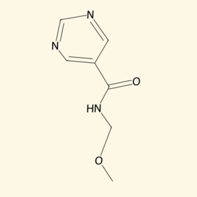 COCNC(=O)c1cncnc1